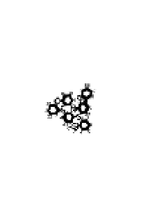 C[Si]1(C)c2ccccc2Sc2c(N(c3cccc4c3Sc3ccccc3O4)c3cccc4c3sc3ccccc34)cccc21